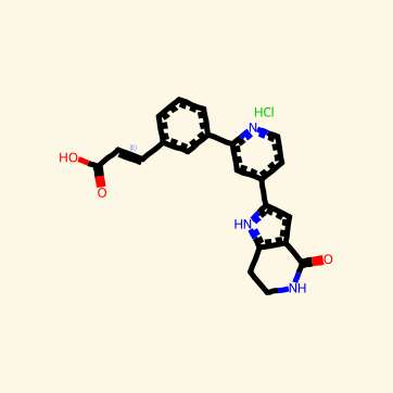 Cl.O=C(O)/C=C/c1cccc(-c2cc(-c3cc4c([nH]3)CCNC4=O)ccn2)c1